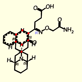 NC(=O)CO/N=C(\CCC(=O)O)c1nc2ccccc2n([C@H]2C[C@H]3CCC[C@@H](C2)N3C2C[C@H]3CCC[C@@H](C2)C3)c1=O